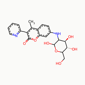 Cc1c(-c2ccccn2)c(=O)oc2cc(NC3C(O)OC(CO)[C@@H](O)[C@@H]3O)ccc12